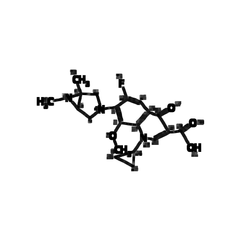 COc1c(N2CC3N(C)C3(C)C2)c(F)cc2c(=O)c(C(=O)O)cn(C3CC3)c12